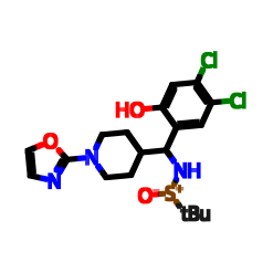 CC(C)(C)[S+]([O-])NC(c1cc(Cl)c(Cl)cc1O)C1CCN(c2ncco2)CC1